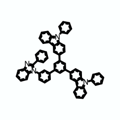 c1ccc(-c2nc3ccccc3n2-c2cccc(-c3cc(-c4ccc5c(c4)c4ccccc4n5-c4ccccc4)cc(-c4ccc5c(c4)c4ccccc4n5-c4ccccc4)c3)c2)cc1